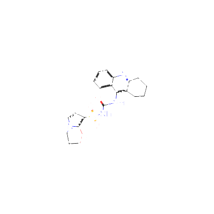 O=C(Nc1c2c(nc3ccccc13)CCCC2)NS(=O)(=O)c1ccn2c1OCCC2